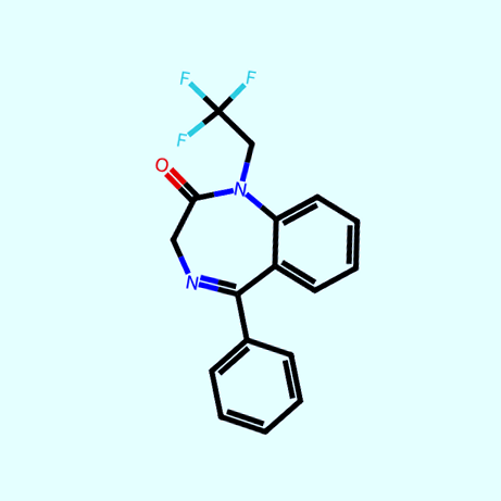 O=C1CN=C(c2ccccc2)c2ccccc2N1CC(F)(F)F